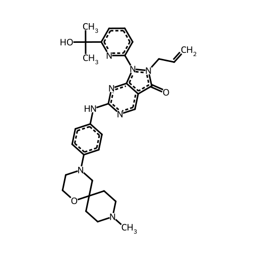 C=CCn1c(=O)c2cnc(Nc3ccc(N4CCOC5(CCN(C)CC5)C4)cc3)nc2n1-c1cccc(C(C)(C)O)n1